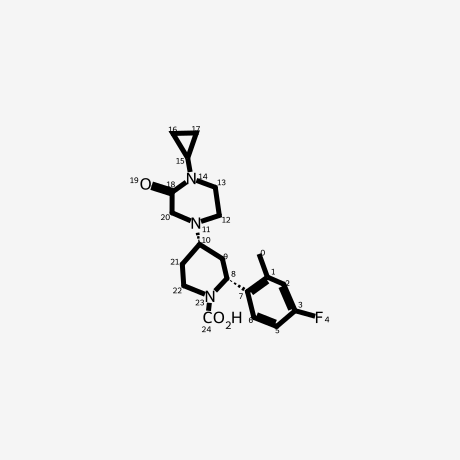 Cc1cc(F)ccc1[C@H]1C[C@@H](N2CCN(C3CC3)C(=O)C2)CCN1C(=O)O